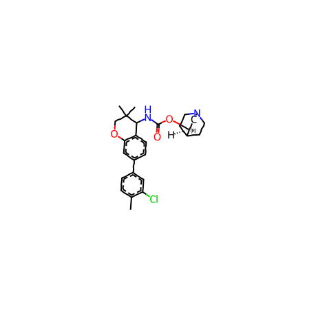 Cc1ccc(-c2ccc3c(c2)OCC(C)(C)C3NC(=O)O[C@H]2CN3CCC2CC3)cc1Cl